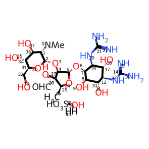 CN[C@@H]1[C@H](O[C@H]2[C@H](O[C@H]3[C@H](O)[C@@H](O)[C@H](NC(=N)N)[C@@H](O)[C@@H]3NC(=N)N)O[C@@H](C)[C@]2(O)C=O)O[C@@H](CO)[C@H](O)[C@H]1O.O=S(=O)(O)O.[HH]